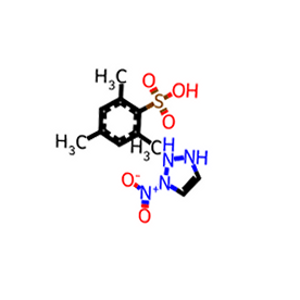 Cc1cc(C)c(S(=O)(=O)O)c(C)c1.O=[N+]([O-])N1C=CNN1